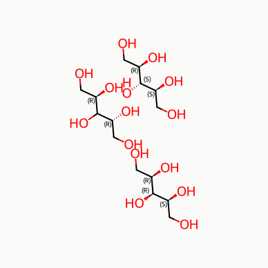 OC[C@@H](O)C(O)[C@H](O)CO.OC[C@@H](O)[C@@H](O)[C@@H](O)CO.OC[C@@H](O)[C@H](O)[C@@H](O)CO